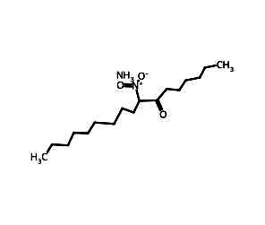 CCCCCCCCCC(C(=O)CCCCCC)[N+](=O)[O-].N